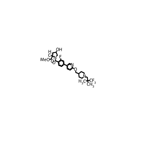 COC(=O)C1(C)CC(O)CN1C(=O)c1ccc(-c2ccc(OCC3CCN(CC(C)(C)C(F)(F)F)CC3)nc2)cc1F